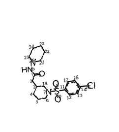 O=C(CC1CCCN(S(=O)(=O)c2ccc(Cl)cc2)C1)NN1CCCCC1